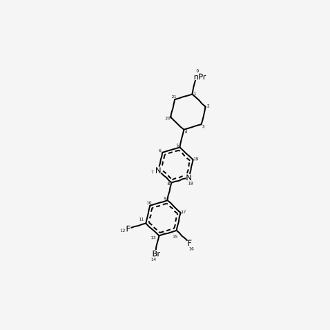 CCCC1CCC(c2cnc(-c3cc(F)c(Br)c(F)c3)nc2)CC1